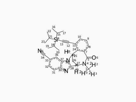 [2H]C([2H])([2H])N1C(=O)c2cccc(C#C[Si](C(C)C)(C(C)C)C(C)C)c2[C@H]2C[C@@H]1c1nc3ccc(C#N)cc3n12